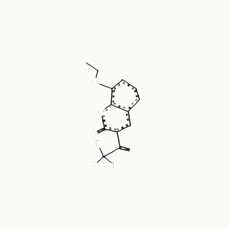 CCOc1cccc2cc(C(=O)C(F)(F)F)c(=O)oc12